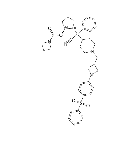 N#CC(c1ccccc1)(C1CCN(CC2CN(c3ccc(S(=O)(=O)c4ccncc4)cc3)C2)CC1)[C@H]1CCC[C@@H]1OC(=O)N1CCC1